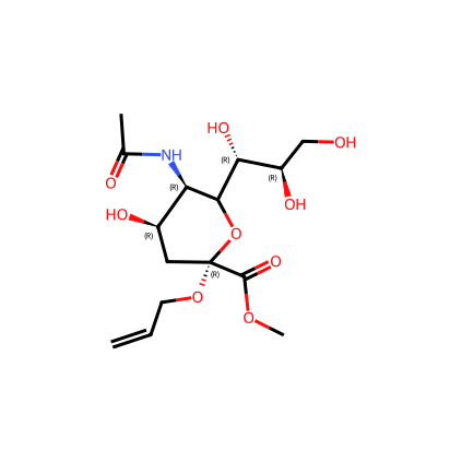 C=CCO[C@]1(C(=O)OC)C[C@@H](O)[C@@H](NC(C)=O)C([C@H](O)[C@H](O)CO)O1